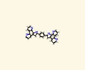 c1cnc2c(c1)c1c(c3ncccc32)N=C(c2ccc(C3=Nc4c(c5cccnc5c5cccnc45)C3)cc2)C1